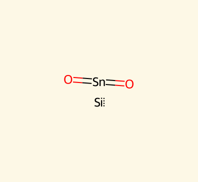 [O]=[Sn]=[O].[Si]